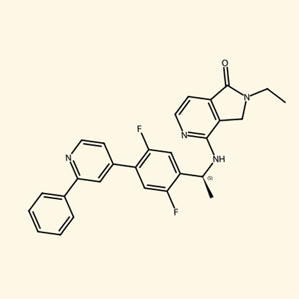 CCN1Cc2c(ccnc2N[C@@H](C)c2cc(F)c(-c3ccnc(-c4ccccc4)c3)cc2F)C1=O